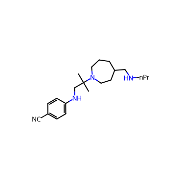 CCCNCC1CCCN(C(C)(C)CNc2ccc(C#N)cc2)CC1